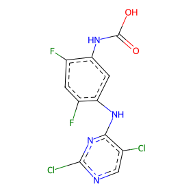 O=C(O)Nc1cc(Nc2nc(Cl)ncc2Cl)c(F)cc1F